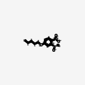 CCCCCOc1ccc([N+](=O)[O-])c([N+](=O)[O-])c1